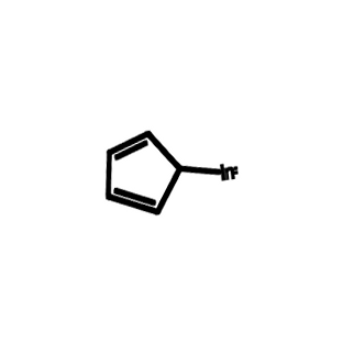 [In][CH]1C=CC=C1